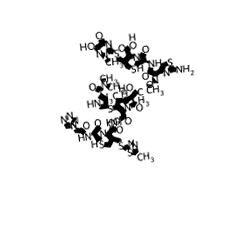 CO/N=C(\C(=O)N[C@@H]1C(=O)N2C(C(=O)O)=C(CSc3nc(=O)c(O)nn3C)CS[C@H]12)c1csc(N)n1.C[C@@H](O)[C@H]1C(=O)N2C(C(=O)O)=C(S[C@@H]3CN[C@H](C(=O)N(C)C)C3)[C@H](C)[C@H]12.Cc1nnc(SCC2=C(C(=O)O)N3C(=O)[C@@H](NC(=O)Cn4cnnn4)[C@H]3SC2)s1